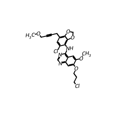 COCC#CCc1cc(Cl)c(Nc2ncnc3cc(OCCCCl)c(OC)cc23)c2c1OCO2